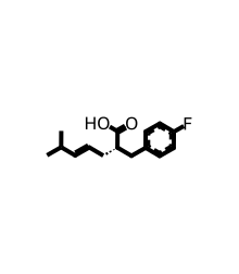 CC(C)/C=C/C[C@@H](Cc1ccc(F)cc1)C(=O)O